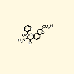 NC(C(=O)c1ccc2c(c1)CC(C(=O)O)O2)S(=O)(=O)c1ccccc1